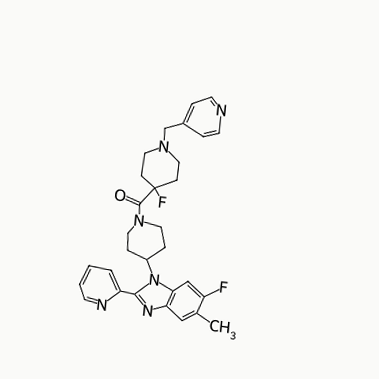 Cc1cc2nc(-c3ccccn3)n(C3CCN(C(=O)C4(F)CCN(Cc5ccncc5)CC4)CC3)c2cc1F